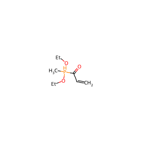 C=CC(=O)[PH](C)(OCC)OCC